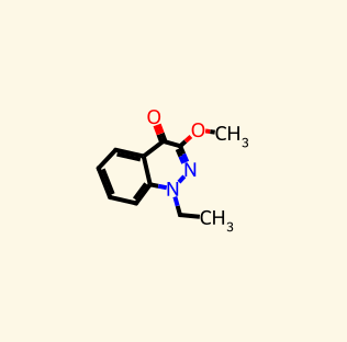 CCn1nc(OC)c(=O)c2ccccc21